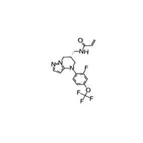 C=CC(=O)NC[C@@H]1CN(c2ccc(OC(F)(F)F)cc2F)c2ccnn2C1